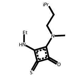 CCNc1c(N(C)CCC(C)C)c(=O)c1=S